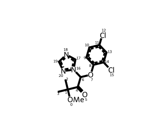 COC(C)(C)C(=O)C(Oc1ccc(Cl)cc1Cl)n1cncn1